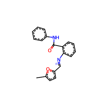 Cc1ccc(/C=N/c2ccccc2C(=O)Nc2ccccc2)o1